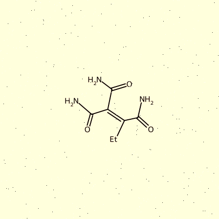 CCC(C(N)=O)=C(C(N)=O)C(N)=O